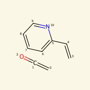 C=C=O.C=Cc1ccccn1